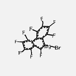 Fc1c(F)c(F)c2c(c1F)c(F)[c]([Mg][Br])c1c(F)c(F)c(F)c(F)c12